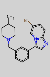 CC1CCN(Cc2cccc(-c3cnc4ccc(Br)cn34)c2)CC1